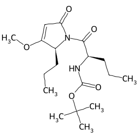 CCC[C@@H](NC(=O)OC(C)(C)C)C(=O)N1C(=O)C=C(OC)[C@@H]1CCC